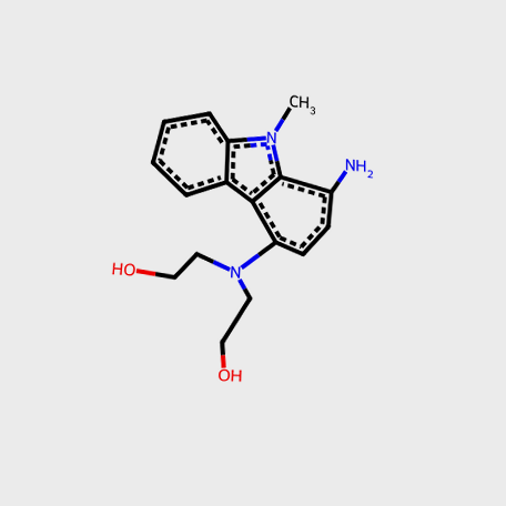 Cn1c2ccccc2c2c(N(CCO)CCO)ccc(N)c21